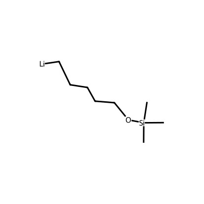 [Li][CH2]CCCCO[Si](C)(C)C